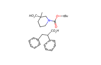 CC(C)(C)OC(=O)N1CCCC(C)(C(=O)O)C1.O=C(O)C(Cc1ccccc1)c1ccccc1